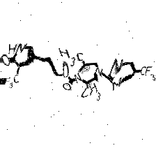 C[C@H]1CN(c2ncc(C(F)(F)F)cn2)C[C@H](C)N1C(=O)OCCc1c[nH]c(=O)c(C(F)(F)F)c1